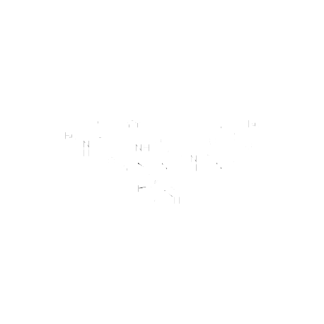 CCCC(NC(=O)[C@@H]1[C@@H]2[C@H](CN1C(=O)[C@@H](NC(=O)NC1(CS(=O)(=O)C(C)(C)C)CCCCC1)C1(C)CCCCC1)C2(C)C)C(=O)C(=O)NC(C)CC